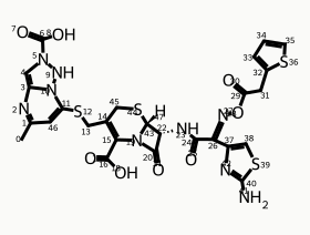 CC1=NC2=CN(C(=O)O)NN2C(SCC2=C(C(=O)O)N3C(=O)[C@@H](NC(=O)C(=NOC(=O)Cc4cccs4)c4csc(N)n4)[C@H]3SC2)=C1